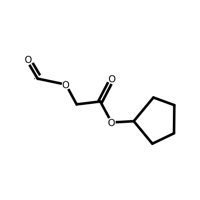 O=[C]OCC(=O)OC1CCCC1